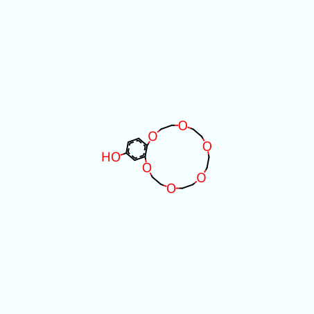 Oc1ccc2c(c1)OCCOCCOCCOCCOCCO2